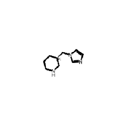 c1cn(C[C@@H]2CCCNC2)cn1